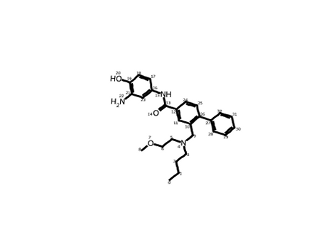 CCCCN(CCOC)Cc1cc(C(=O)Nc2ccc(O)c(N)c2)ccc1-c1ccccc1